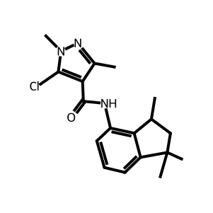 Cc1nn(C)c(Cl)c1C(=O)Nc1cccc2c1C(C)CC2(C)C